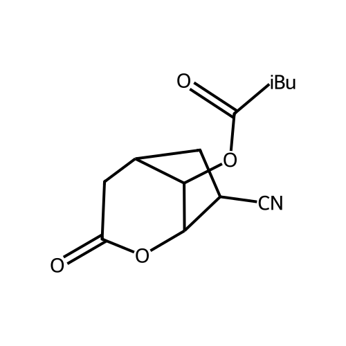 CCC(C)C(=O)OC1C2CC(=O)OC1C(C#N)C2